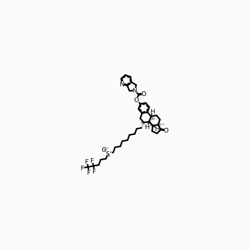 C[C@@]12CC[C@H]3c4ccc(OC(=O)N5Cc6cccnc6C5)cc4C[C@@H](CCCCCCCCC[S@@+]([O-])CCCC(F)(F)C(F)(F)F)[C@H]3[C@H]1CCC2=O